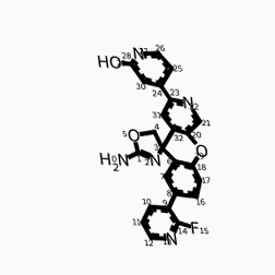 NC1=NC2(CO1)c1cc(-c3cccnc3F)ccc1Oc1cnc(-c3ccnc(O)c3)cc12